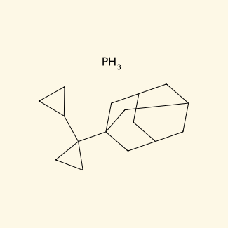 C1C2CC3CC1CC(C1(C4CC4)CC1)(C2)C3.P